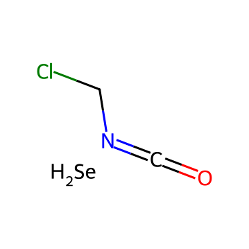 O=C=NCCl.[SeH2]